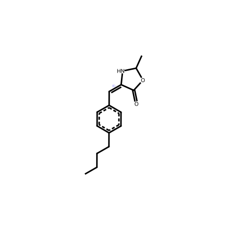 CCCCc1ccc(/C=C2/NC(C)OC2=O)cc1